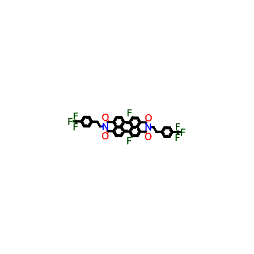 O=C1c2ccc3c4c(F)cc5c6c(cc(F)c(c7ccc(c2c37)C(=O)N1CCc1ccc(C(F)(F)F)cc1)c64)C(=O)N(CCc1ccc(C(F)(F)F)cc1)C5=O